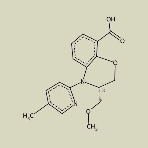 COC[C@H]1COc2c(C(=O)O)cccc2N1c1ccc(C)cn1